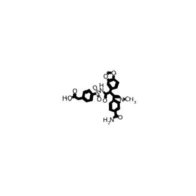 Cn1cc(C(C(=O)NS(=O)(=O)c2ccc(CC(=O)O)cc2)c2ccc3c(c2)OCO3)c2ccc(C(N)=O)cc21